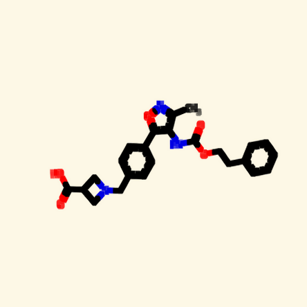 Cc1noc(-c2ccc(CN3CC(C(=O)O)C3)cc2)c1NC(=O)OCCc1ccccc1